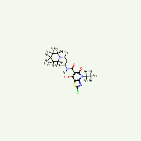 [2H]C(CC([2H])N1C([2H])([2H])C([2H])([2H])C([2H])([2H])C([2H])(C)C1([2H])[2H])N([2H])C(=O)c1c(O)c2sc(Cl)nc2n(C([2H])([2H])C([2H])([2H])[2H])c1=O